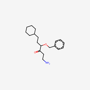 NCCC(=O)C(CCC1CCCCC1)OCc1ccccc1